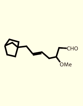 COC(CC=O)CC=CCC12CCC(CC1)C2